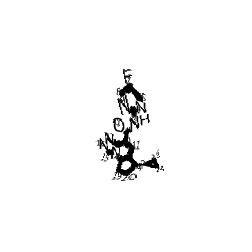 O=C(Nc1ncc(F)cn1)c1cc2c(n3cnnc13)CC[C@@H]2C1CC1